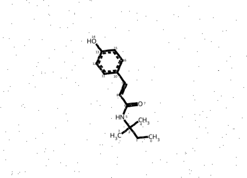 CCC(C)(C)NC(=O)C=Cc1ccc(O)cc1